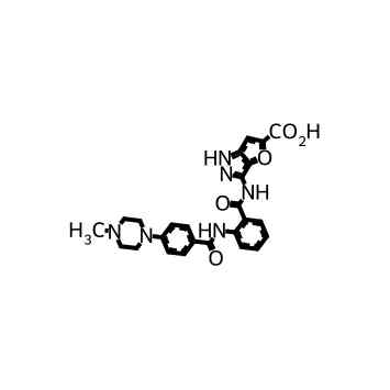 CN1CCN(c2ccc(C(=O)Nc3ccccc3C(=O)Nc3n[nH]c4cc(C(=O)O)oc34)cc2)CC1